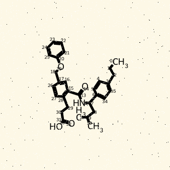 CCCc1ccc(C(CC(C)C)NC(=O)c2cc(COc3ccccc3)ccc2CCC(=O)O)cc1